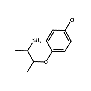 CC(N)C(C)Oc1ccc(Cl)cc1